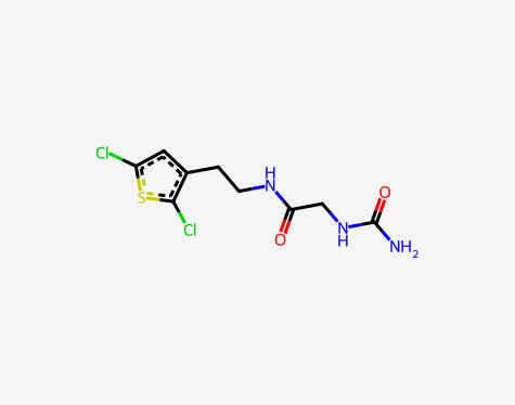 NC(=O)NCC(=O)NCCc1cc(Cl)sc1Cl